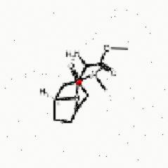 COC(=O)C(N)C1CC2CC[C@@H](C1)N2C(=O)N(C)C